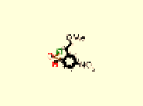 COCCc1cc([N+](=O)[O-])ccc1S(=O)(=O)Cl